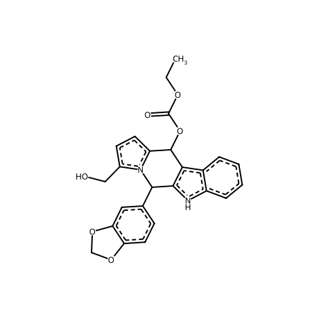 CCOC(=O)OC1c2c([nH]c3ccccc23)C(c2ccc3c(c2)OCO3)n2c(CO)ccc21